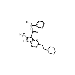 Cc1[nH]c2ccc(CCN3CCCCC3)cc2c1C(=O)O[C@@H](C)c1ccccc1